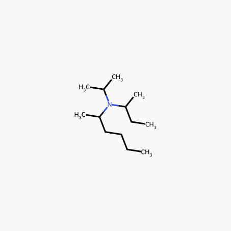 CCCCC(C)N(C(C)C)C(C)CC